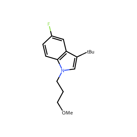 COCCCn1cc(C(C)(C)C)c2cc(F)ccc21